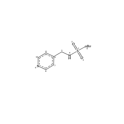 CCCCS(=O)(=O)NCc1ccncc1